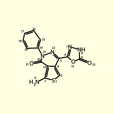 Nc1scc2c(-c3n[nH]c(=O)o3)nn(-c3ccccc3)c(=O)c12